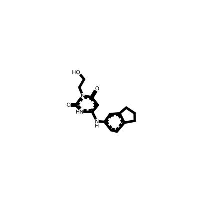 O=c1cc(Nc2ccc3c(c2)CCC3)[nH]c(=O)n1CCO